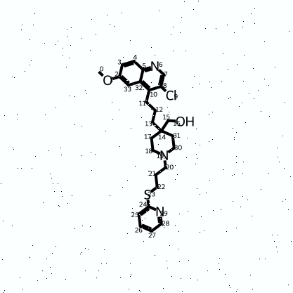 COc1ccc2ncc(Cl)c(CCCC3(CO)CCN(CCCSc4ccccn4)CC3)c2c1